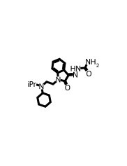 CC(C)N(CCN1C(=O)/C(=N/NC(N)=O)c2ccccc21)C1CCCCC1